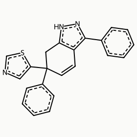 C1=CC(c2ccccc2)(c2cncs2)Cc2[nH]nc(-c3ccccc3)c21